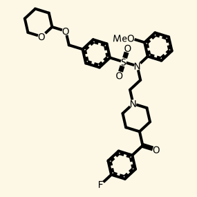 COc1ccccc1N(CCN1CCC(C(=O)c2ccc(F)cc2)CC1)S(=O)(=O)c1ccc(COC2CCCCO2)cc1